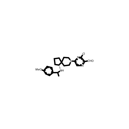 COc1ccc(C(C)N[C@@H]2CCCC23CCN(c2cnc(C=O)c(Cl)n2)CC3)cc1